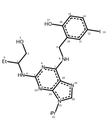 CCC(CO)Nc1nc(NCc2cc(I)ccc2O)c2ncn(C(C)C)c2n1